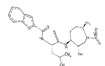 CC(C)C[C@H](NC(=O)c1cc2ccccc2o1)C(=O)N[C@H]1CC[C@@H](C)N([SH](=O)=O)C[C@@H]1O